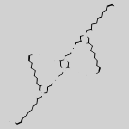 CCCCCCCC/C=C\CCCCCCC(O)CN(CCCSSCCN1CC(C)N(CCSSCCCN(CC(O)CCCCCC/C=C\CCCCCCCC)CC(O)CCCCCC/C=C\CCCCCCCC)CC1C)CC(O)CCCCCC/C=C\CCCCCCCC